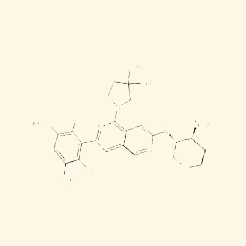 COc1cc(OC)c(Cl)c(-c2cc3cnc(N[C@@H]4COCC[C@@H]4NC(C)=O)cc3c(N3CCC(C)(OC)C3)n2)c1Cl